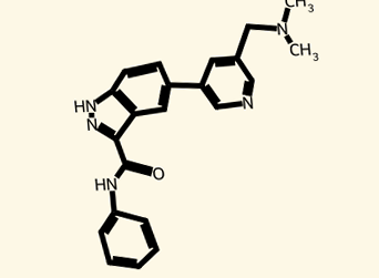 CN(C)Cc1cncc(-c2ccc3[nH]nc(C(=O)Nc4ccccc4)c3c2)c1